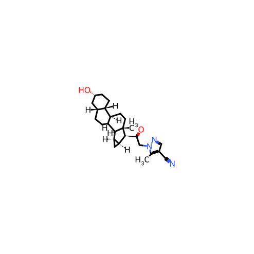 Cc1c(C#N)cnn1CC(=O)[C@H]1[C@H]2C[C@H]2[C@H]2[C@@H]3CC[C@@H]4C[C@H](O)CC[C@@H]4[C@H]3CC[C@@]21C